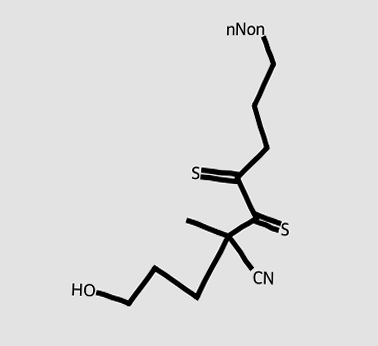 CCCCCCCCCCCCC(=S)C(=S)C(C)(C#N)CCCO